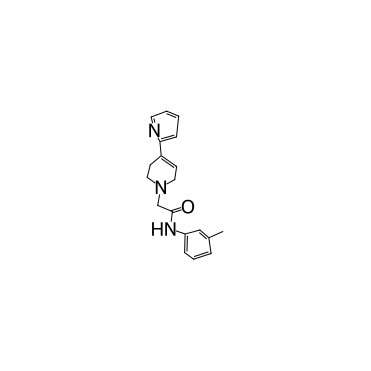 Cc1cccc(NC(=O)CN2CC=C(c3ccccn3)CC2)c1